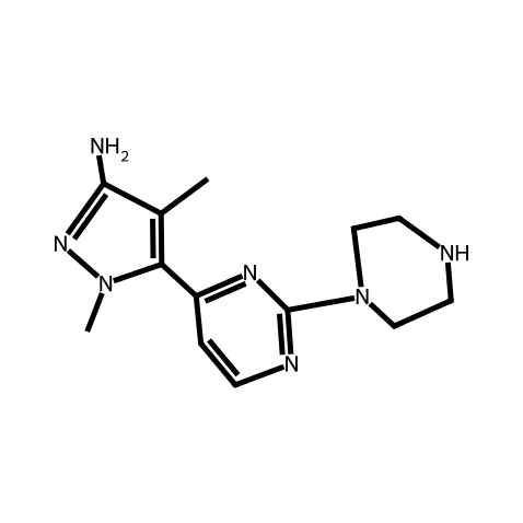 Cc1c(N)nn(C)c1-c1ccnc(N2CCNCC2)n1